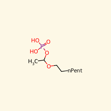 CCCCCCCOC(C)OP(=O)(O)O